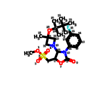 COS(=O)(=O)CC1OC(=O)N(c2cccc(F)c2)C1N1CC(C)(O[Si](C)(C)C(C)(C)C)C1